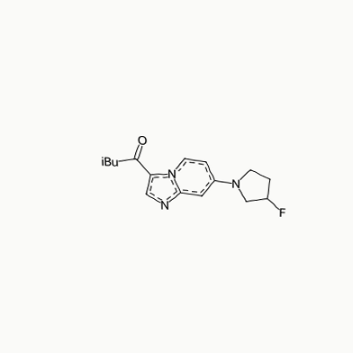 CCC(C)C(=O)c1cnc2cc(N3CCC(F)C3)ccn12